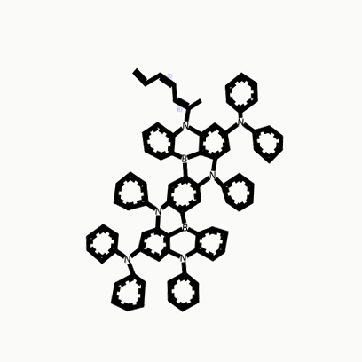 C=C/C=C\C=C(/C)N1c2ccccc2B2c3cc4c(cc3N(c3ccccc3)c3cc(N(c5ccccc5)c5ccccc5)cc1c32)B1c2ccccc2N(c2ccccc2)c2cc(N(c3ccccc3)c3ccccc3)cc(c21)N4c1ccccc1